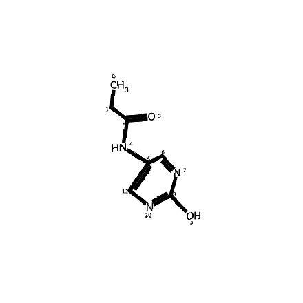 CCC(=O)Nc1cnc(O)nc1